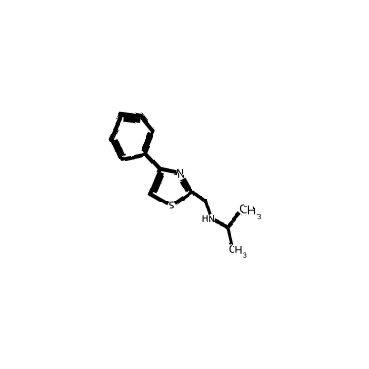 CC(C)NCc1nc(-c2ccccc2)cs1